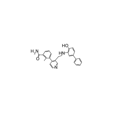 Cc1c(C(N)=O)cccc1-c1ccncc1CCNc1cc(-c2ccccc2)ccc1O